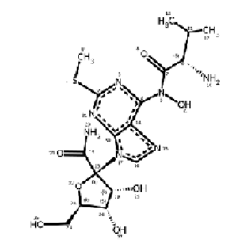 CSc1nc(N(O)C(=O)[C@@H](N)C(C)C)c2ncn([C@]3(C(N)=O)O[C@H](CO)[C@@H](O)[C@H]3O)c2n1